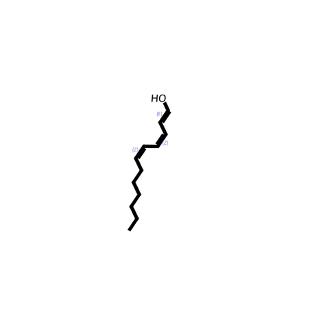 CCCCCC\C=C/C=C\C=C\O